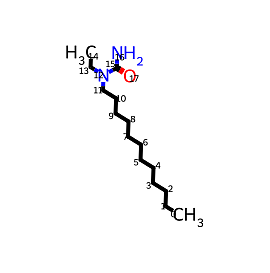 CCCCCCCCCCCCN(CC)C(N)=O